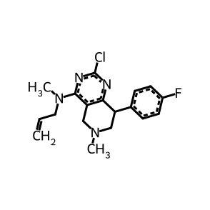 C=CCN(C)c1nc(Cl)nc2c1CN(C)CC2c1ccc(F)cc1